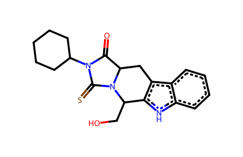 O=C1C2Cc3c([nH]c4ccccc34)C(CO)N2C(=S)N1C1CCCCC1